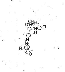 CC(=O)N1c2ccc(-c3ccc(N4CCN(Cc5ccncc5N5CCC(=O)NC5=O)CC4)cc3)cc2C(Nc2ccc(Cl)cc2)CC1C